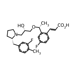 Cc1ccc(C[C@@H]2CCCN2C[C@H](O)CO[C@H](C)c2cc(F)ccc2/C=C/C(=O)O)cc1F